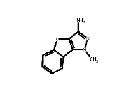 Cn1nc(N)c2oc3ccccc3c21